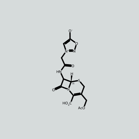 CC(=O)OCC1=C(C(=O)O)N2C(=O)C(NC(=O)C[n+]3cc([O-])on3)[C@@H]2SC1